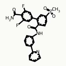 CS(=O)(=O)c1ccc(C(=O)Nc2cccc(-c3ccccn3)c2)c(-c2cc(F)c(C(N)=O)c(F)c2)c1